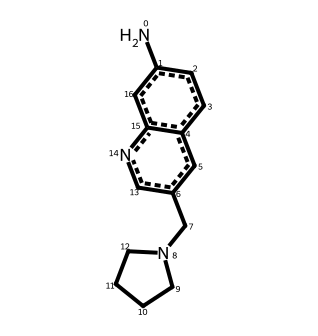 Nc1ccc2cc(CN3CCCC3)cnc2c1